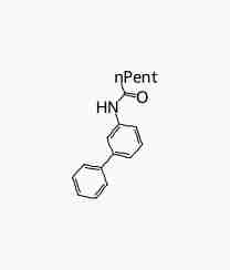 CCCCCC(=O)Nc1cccc(-c2ccccc2)c1